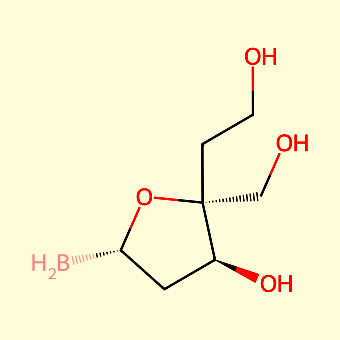 B[C@H]1C[C@H](O)[C@](CO)(CCO)O1